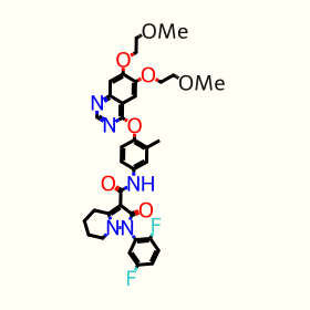 COCCOc1cc2ncnc(Oc3ccc(NC(=O)c4c5n(n(-c6cc(F)ccc6F)c4=O)CCCC5)cc3C)c2cc1OCCOC